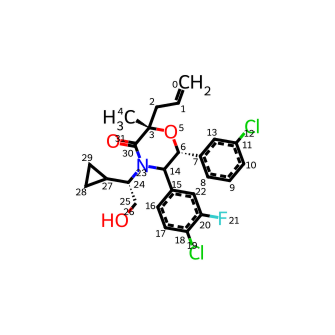 C=CC[C@]1(C)O[C@H](c2cccc(Cl)c2)C(c2ccc(Cl)c(F)c2)N([C@H](CO)C2CC2)C1=O